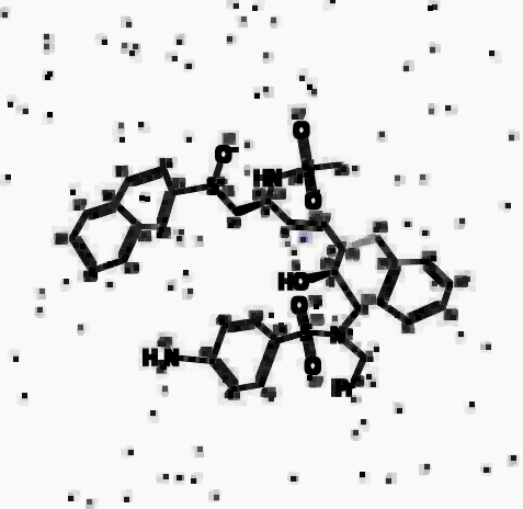 CC(C)CN(C[C@@H](O)[C@H](/C=C/[C@@H](C[S+]([O-])c1ccc2ccccc2c1)NS(C)(=O)=O)Cc1ccccc1)S(=O)(=O)c1ccc(N)cc1